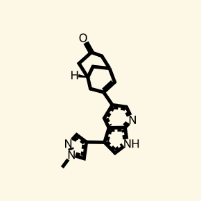 Cn1cc(-c2c[nH]c3ncc(C4=CC5CC(=O)C[C@@H](C4)C5)cc23)cn1